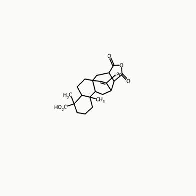 CC(C)C1=CC23CCC4C(C)(C(=O)O)CCCC4(C)C2CC1C1C(=O)OC(=O)C1C3